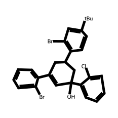 CC(C)(C)c1ccc(C2CC(c3ccccc3Br)=CC(O)(c3ccccc3Cl)C2)c(Br)c1